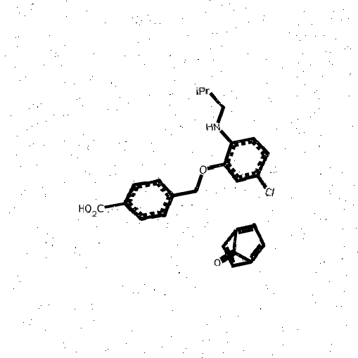 CC(C)CNc1ccc(Cl)cc1OCc1ccc(C(=O)O)cc1.O=C1C2=CC=C1C=C2